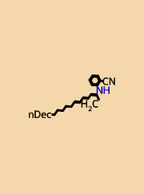 C=CC(=CC=CC=CCCCCCCCCCCCCCCC)Nc1ccccc1C#N